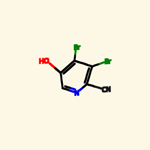 N#Cc1ncc(O)c(Br)c1Br